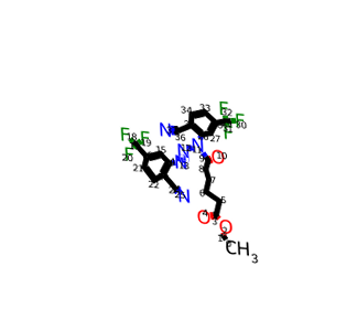 CCOC(=O)CCCCC(=O)N(/N=N/c1cc(C(F)(F)F)ccc1C#N)c1cc(C(F)(F)F)ccc1C#N